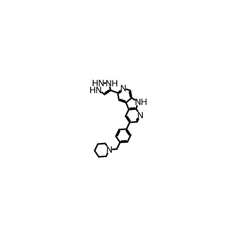 C1=C(c2cc3c(cn2)[nH]c2ncc(-c4ccc(CN5CCCCC5)cc4)cc23)NNN1